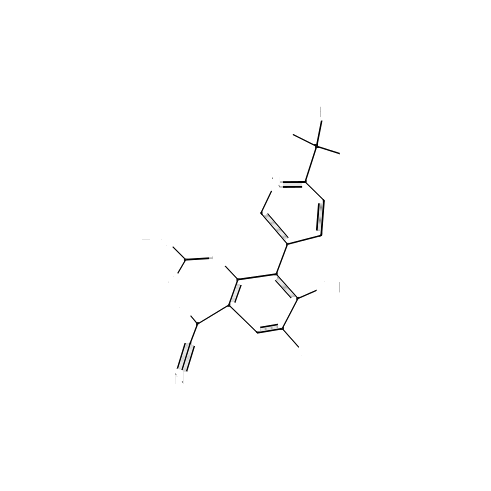 Cc1c(Cl)cc(C(C)C#N)c(OC(C)C)c1-c1ccc(C(F)(F)F)nc1